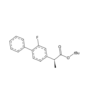 C[C@H](C(=O)OC(C)(C)C)c1ccc(-c2ccccc2)c(F)c1